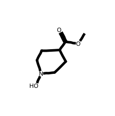 COC(=O)C1CCN(O)CC1